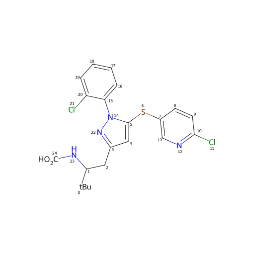 CC(C)(C)C(Cc1cc(Sc2ccc(Cl)nc2)n(-c2ccccc2Cl)n1)NC(=O)O